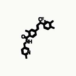 Cc1ccc(CNC(=O)c2ccc(/C=C/C(c3ccc(C)c(C)c3)C(F)(F)F)cc2C)cn1